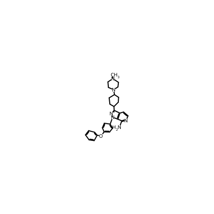 CN1CCN(C2CCC(c3nn(-c4ccc(Oc5ccccc5)cc4)c4c(N)nccc34)CC2)CC1